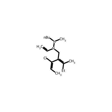 C=CN(CC(=C(\C)CC)/C(Cl)=C\C)N(C)CCCC